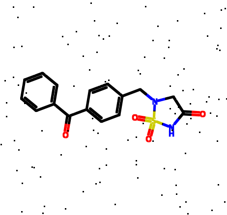 O=C1CN(Cc2ccc(C(=O)c3ccccc3)cc2)S(=O)(=O)N1